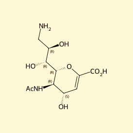 CC(=O)N[C@H]1[C@H]([C@H](O)[C@H](O)CN)OC(C(=O)O)=C[C@@H]1O